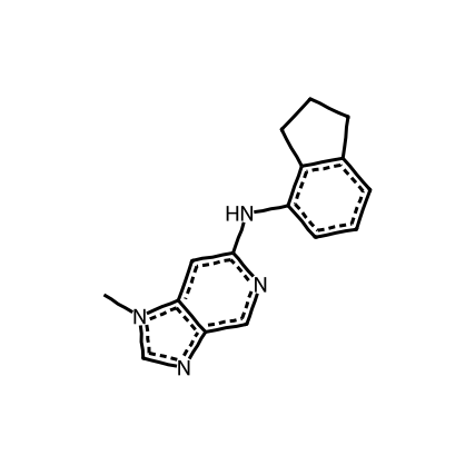 Cn1cnc2cnc(Nc3cccc4c3CCC4)cc21